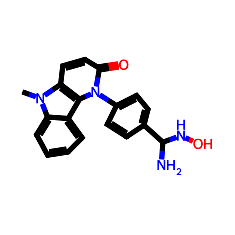 Cn1c2ccccc2c2c1ccc(=O)n2-c1ccc(C(N)NO)cc1